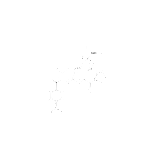 C=CC1C[C@]1(NC(=O)[C@@H]1CCCN1C(=O)CNC(=O)N[C@H](C(=O)c1ccc(N(C)C)cc1)C(C)C)C(=O)O